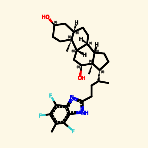 Cc1c(F)c(F)c2nc(CCC(C)[C@H]3CC[C@H]4[C@@H]5CC[C@@H]6C[C@H](O)CC[C@]6(C)[C@H]5C[C@H](O)[C@]34C)[nH]c2c1F